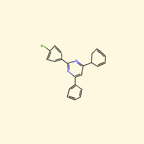 Brc1ccc(-c2nc(-c3ccccc3)cc(C3C=CC=CC3)n2)cc1